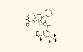 CC(OC[C@@]1(c2ccccc2)CC[C@]2(CCOC(=O)N2)CN1)c1cc(C(F)(F)F)cc(C(F)(F)F)c1